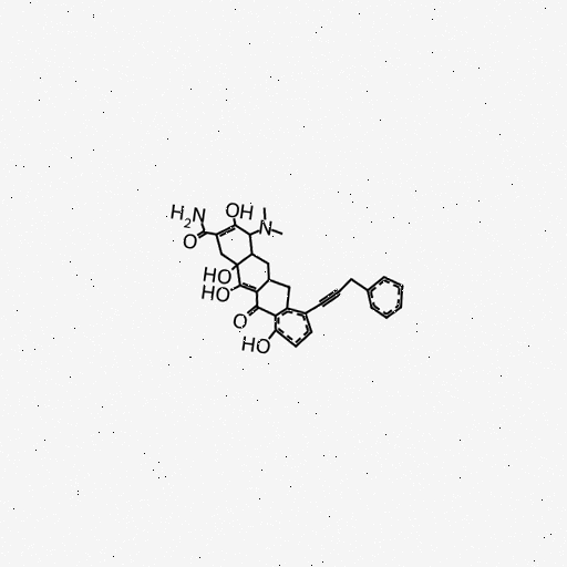 CN(C)C1C(O)=C(C(N)=O)CC2(O)C(O)=C3C(=O)c4c(O)ccc(C#CCc5ccccc5)c4CC3CC12